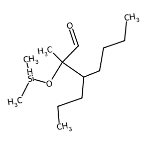 CCCCC(CCC)C(C)(C=O)O[SiH](C)C